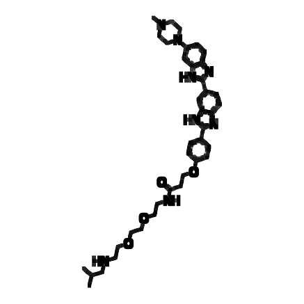 CC(C)CNCCOCCOCCNC(=O)CCOc1ccc(-c2nc3ccc(-c4nc5ccc(N6CCN(C)CC6)cc5[nH]4)cc3[nH]2)cc1